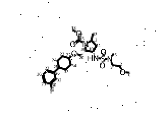 COCCN(C)S(=O)(=O)N[C@H]1CC(C)N(C(=O)OC)[C@H]1COC1CCC(c2cccc(F)c2)CC1